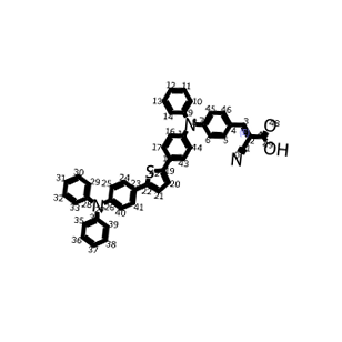 N#C/C(=C\c1ccc(N(c2ccccc2)c2ccc(-c3ccc(-c4ccc(N(c5ccccc5)c5ccccc5)cc4)s3)cc2)cc1)C(=O)O